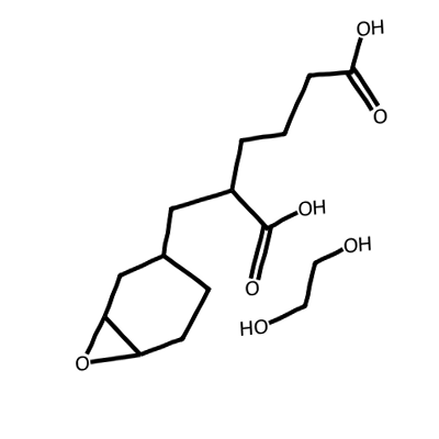 O=C(O)CCCC(CC1CCC2OC2C1)C(=O)O.OCCO